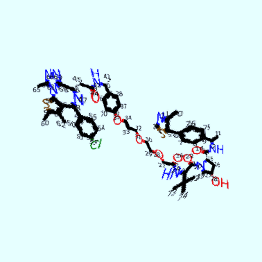 Cc1ncsc1-c1ccc(C(C)NC(=O)[C@@H]2C[C@@H](O)CN2C(=O)C(NC(=O)COCCOCCCOc2ccc([C@@H](C)NC(=O)C[C@@H]3N=C(c4ccc(Cl)cc4)c4c(sc(C)c4C)-n4c(C)nnc43)cc2)C(C)(C)C)cc1